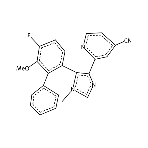 COc1c(F)ccc(-c2c(-c3cc(C#N)ccn3)ncn2C)c1-c1ccccc1